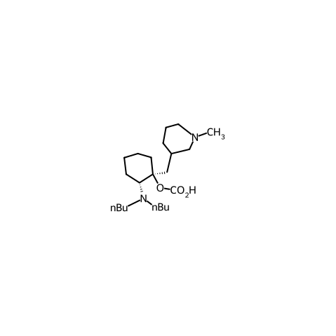 CCCCN(CCCC)[C@@H]1CCCC[C@@]1(CC1CCCN(C)C1)OC(=O)O